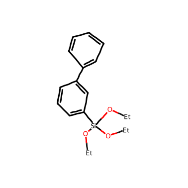 CCO[Si](OCC)(OCC)c1cccc(-c2ccccc2)c1